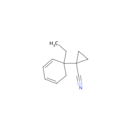 CCC1(C2(C#N)CC2)C=CC=CC1